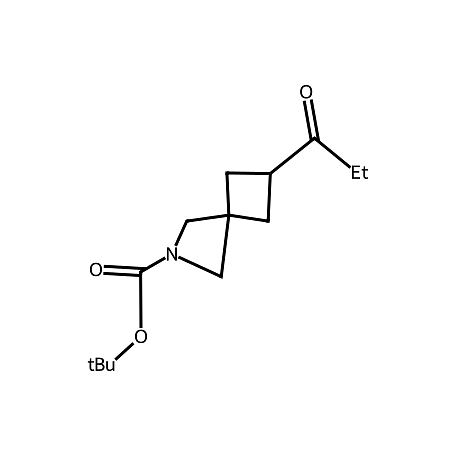 CCC(=O)C1CC2(C1)CN(C(=O)OC(C)(C)C)C2